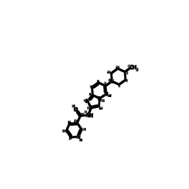 CC1CCN(c2ccc3nc(NC(=O)c4cccnc4)cn3n2)CC1